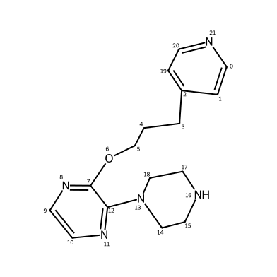 c1cc(CCCOc2nccnc2N2CCNCC2)ccn1